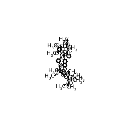 C=CC(=O)OCC(C)(C)C(=O)C(=O)N1CCCC[C@H]1C(=O)O[C@H](CCc1cc(OC)c(OC)cc1OC)c1cccc(OCC(=O)N(C)[C@@H](CCCC)C(=O)N[C@@H](Cc2ccc3ccccc3c2)C(=O)N(C)[C@@H](COC(C)(C)C)C(=O)NCC(=O)N(C)CC)c1